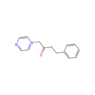 O=C(CCc1ccccc1)C[n+]1ccncc1